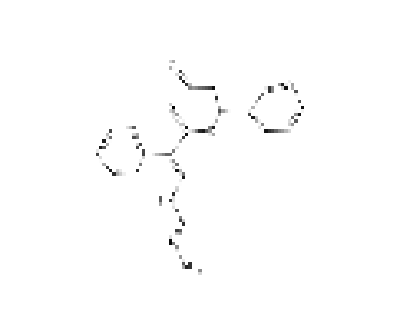 NN=CNC=C(C(=O)OC(CC=O)c1ccccc1)c1ccccc1